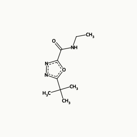 CCNC(=O)c1nnc(C(C)(C)C)o1